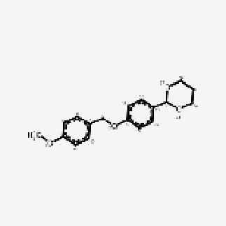 COc1ccc(COc2ccc(C3OCCCO3)cc2)cc1